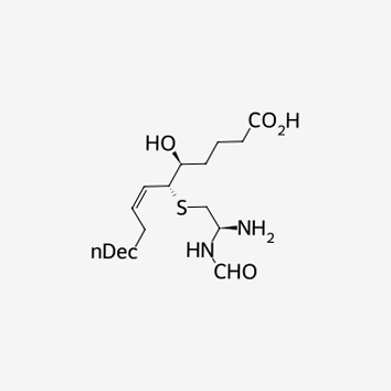 CCCCCCCCCCC/C=C\[C@@H](SC[C@@H](N)NC=O)[C@@H](O)CCCC(=O)O